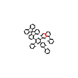 c1ccc(-c2ccccc2N(c2cccc3c2sc2ccccc23)c2cccc3oc4c(-c5cccc6c5-c5ccccc5C65c6ccccc6-c6ccccc65)c5c(cc4c23)oc2ccccc25)cc1